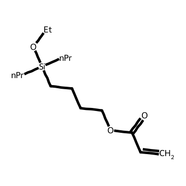 C=CC(=O)OCCCC[Si](CCC)(CCC)OCC